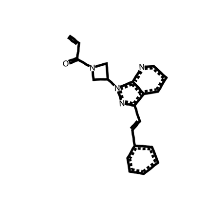 C=CC(=O)N1CC(n2nc(C=Cc3ccccc3)c3cccnc32)C1